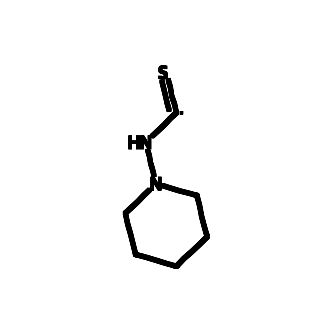 S=[C]NN1CCCCC1